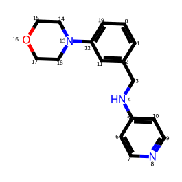 c1cc(CNc2ccncc2)cc(N2CCOCC2)c1